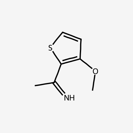 COc1ccsc1C(C)=N